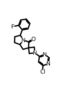 O=C1N2C(CCC2c2ccccc2F)CC12CN(c1cc(Cl)ncn1)C2